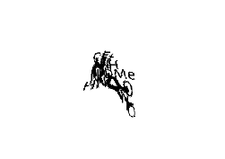 CCNc1nc(Nc2cc3c(cc2OC)C(=O)N(C2COC2)C3)ncc1C(F)(F)F